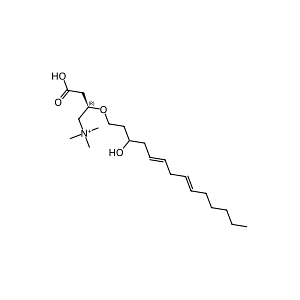 CCCCCC=CCC=CCC(O)CCO[C@H](CC(=O)O)C[N+](C)(C)C